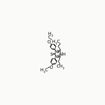 CCCC[CH2][AlH][CH2]CCCC.CCOc1ccc(NC(=S)Nc2ccc(OCC)cc2)cc1